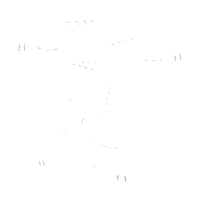 COP(=O)(OC)OC.OCCO.OCOc1ccc(O)cc1